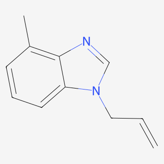 C=CCn1cnc2c(C)cccc21